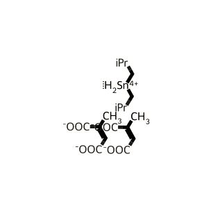 C/C(=C/C(=O)[O-])C(=O)[O-].C/C(=C/C(=O)[O-])C(=O)[O-].CC(C)[CH2][SnH2+4][CH2]C(C)C